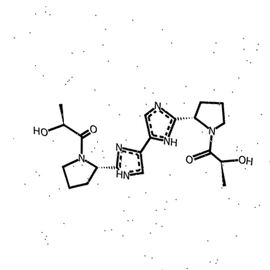 C[C@H](O)C(=O)N1CCC[C@H]1c1nc(-c2cnc([C@@H]3CCCN3C(=O)[C@H](C)O)[nH]2)c[nH]1